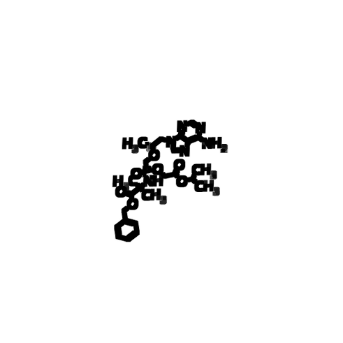 CC(C)OC(=O)COP(=O)(CO[C@H](C)Cn1cnc2c(N)ncnc21)NC(C)(C)C(=O)OCc1ccccc1